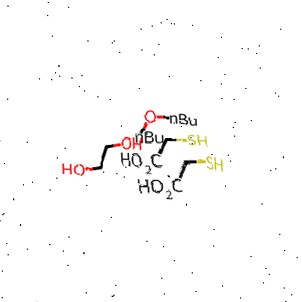 CCCCOCCCC.O=C(O)CS.O=C(O)CS.OCCO